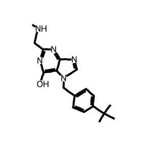 CNCc1nc(O)c2c(ncn2Cc2ccc(C(C)(C)C)cc2)n1